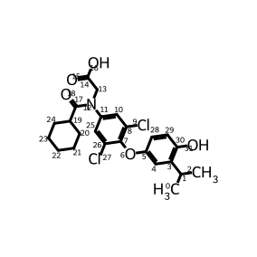 CC(C)c1cc(Oc2c(Cl)cc(N(CC(=O)O)C(=O)C3CCCCC3)cc2Cl)ccc1O